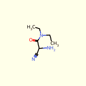 CCN(CC)C(=O)C(N)C#N